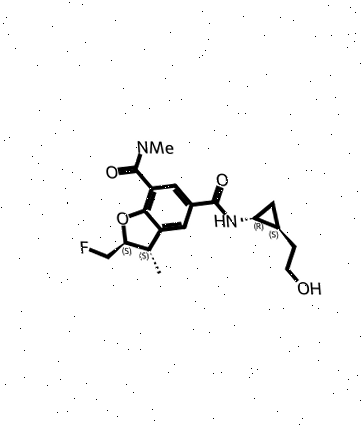 CNC(=O)c1cc(C(=O)N[C@@H]2C[C@H]2CCO)cc2c1O[C@H](CF)[C@H]2C